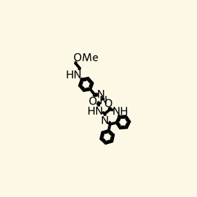 COCCNc1ccc(-c2nnc(NC3N=C(c4ccccc4)c4ccccc4NC3=O)o2)cc1